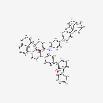 c1ccc(-c2cccc3cccc(-c4ccc(N(c5ccc(-c6ccc(C78CC9CC(CC(C9)C7)C8)cc6)cc5)c5cccc(-c6cccc7c6oc6ccccc67)c5)cc4)c23)cc1